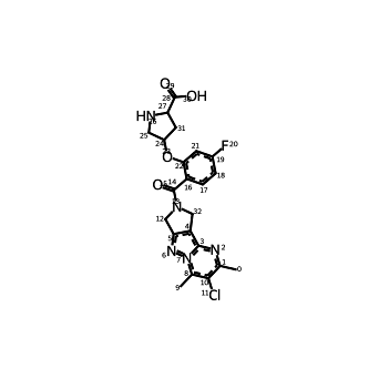 Cc1nc2c3c(nn2c(C)c1Cl)CN(C(=O)c1ccc(F)cc1OC1CNC(C(=O)O)C1)C3